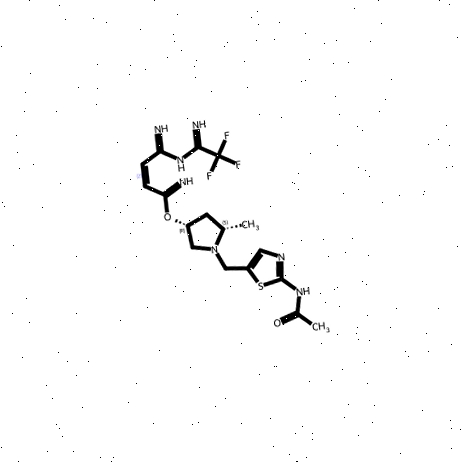 CC(=O)Nc1ncc(CN2C[C@H](OC(=N)/C=C\C(=N)NC(=N)C(F)(F)F)C[C@@H]2C)s1